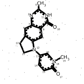 Cc1nc2cc3c(cc2c(=O)[nH]1)N(c1ccc(=O)n(C)c1)CC3